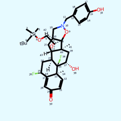 CC(C)(C)[Si](C)(C)OCC(=O)[C@@]12ON(Cc3ccc(O)cc3)C[C@@H]1C[C@H]1[C@@H]3C[C@H](F)C4=CC(=O)C=C[C@]4(C)[C@@]3(F)[C@@H](O)C[C@@]12C